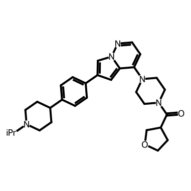 CC(C)N1CCC(c2ccc(-c3cc4c(N5CCN(C(=O)C6CCOC6)CC5)ccnn4c3)cc2)CC1